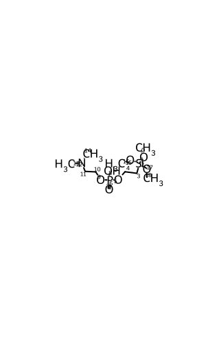 CO[Si](CCOP(=O)(O)OCCN(C)C)(OC)OC